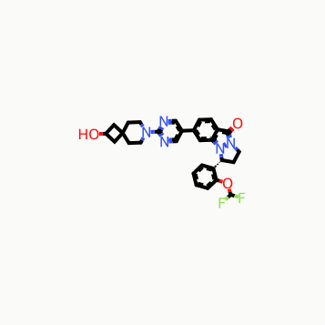 O=c1c2ccc(-c3cnc(N4CCC5(CC4)CC(O)C5)nc3)cc2n2n1CC[C@@H]2c1ccccc1OC(F)F